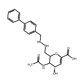 CC(=O)NC1C(CNNCc2ccc(-c3ccccc3)cc2)OC(C(=O)O)=C[C@H]1O